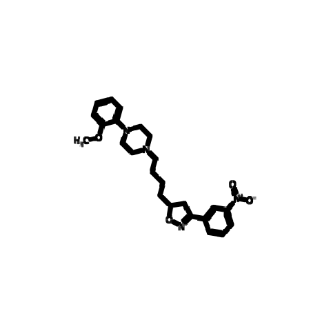 COc1ccccc1N1CCN(CCCCC2CC(c3cccc([N+](=O)[O-])c3)=NO2)CC1